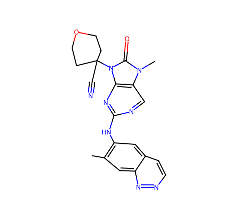 Cc1cc2nnccc2cc1Nc1ncc2c(n1)n(C1(C#N)CCOCC1)c(=O)n2C